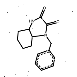 O=C1NC2CCCCC2N(Cc2ccccc2)C1=O